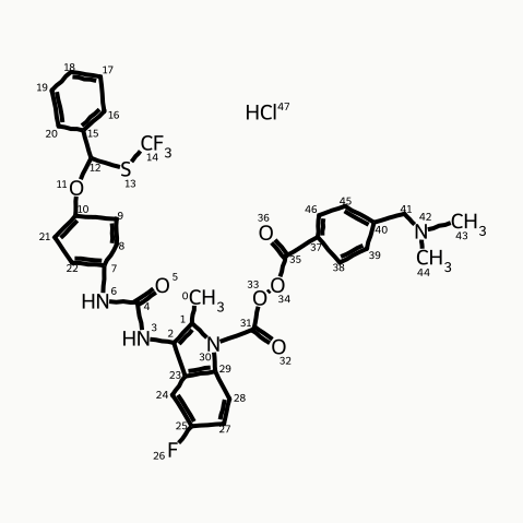 Cc1c(NC(=O)Nc2ccc(OC(SC(F)(F)F)c3ccccc3)cc2)c2cc(F)ccc2n1C(=O)OOC(=O)c1ccc(CN(C)C)cc1.Cl